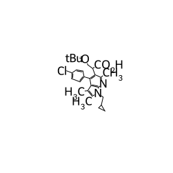 Cc1nc2c(c(C)c(C)n2CC2CC2)c(-c2ccc(Cl)cc2)c1[C@@H](COC(C)(C)C)C(=O)O